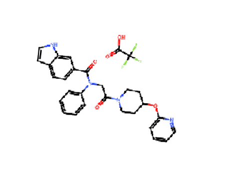 O=C(CN(C(=O)c1ccc2cc[nH]c2c1)c1ccccc1)N1CCC(Oc2ccccn2)CC1.O=C(O)C(F)(F)F